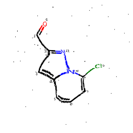 O=Cc1cc2cccc(Cl)n2n1